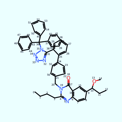 CCCCc1nc2ccc(C(CC)OC)cc2c(=O)n1Cc1ccc(-c2ccccc2-c2nnnn2C(c2ccccc2)(c2ccccc2)c2ccccc2)cc1